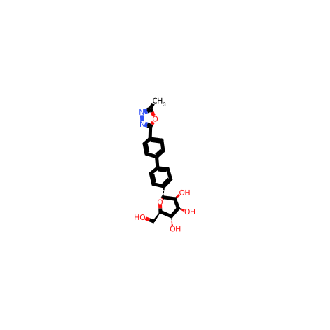 Cc1nnc(-c2ccc(-c3ccc([C@H]4O[C@H](CO)[C@@H](O)[C@H](O)[C@@H]4O)cc3)cc2)o1